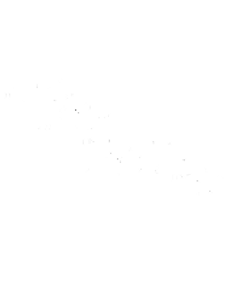 Cc1cc(O)cc(C)c1S(=O)(=O)N(C)CC(=O)NCC(=O)N(C)Cc1ccc(CNC2CCCC2)cc1